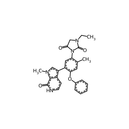 CCN1CC(=O)N(c2cc(-c3cn(C)c4c(=O)[nH]ccc34)c(Oc3ccccc3)cc2C)C1=O